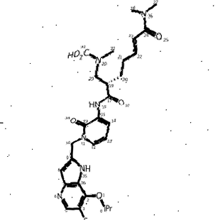 CC(C)Oc1c(F)cnc2cc(Cn3cccc(NC(=O)[C@@H](CC/C=C/C(=O)N(C)C)CN(C)C(=O)O)c3=O)[nH]c12